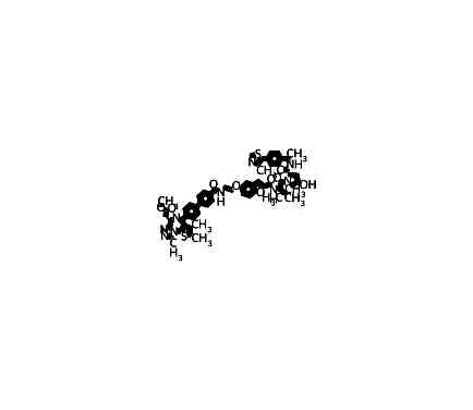 COC(=O)C[C@@H]1N=C(c2ccc(-c3ccc(C(=O)NCCOc4ccc5oc(C(=O)NC(C(=O)N6C[C@H](O)C[C@H]6C(=O)N[C@@H](C)c6ccc(-c7scnc7C)cc6)C(C)(C)C)cc5c4)cc3)cc2)c2c(sc(C)c2C)-n2c(C)nnc21